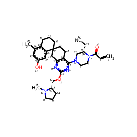 C=CC(=O)N1CCN(c2nc(OC[C@@H]3CCCN3C)nc3c2CCC2(CCCc4c(C)cc(O)cc42)C3)C[C@@H]1CC#N